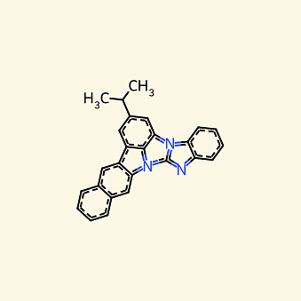 CC(C)c1cc2c3cc4ccccc4cc3n3c2c(c1)n1c2ccccc2nc13